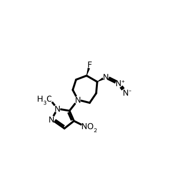 Cn1ncc([N+](=O)[O-])c1N1CC[C@@H](F)[C@@H](N=[N+]=[N-])CC1